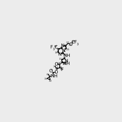 CC1(NC(=O)O[C@H]2CO[C@@H](c3cc(Nc4ncc(C(F)(F)F)c5nc(COC(F)(F)F)cn45)n[nH]3)[C@@H]2F)CC1